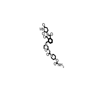 NC(=O)OC1CCN(C(=O)C[C@@H]2CN(Cc3cccc4c3C(=O)N(C3CCC(=O)NC3=O)C4=O)CCO2)CC1